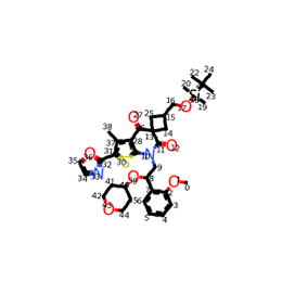 COc1ccccc1C(CN1C(=O)C2(CC(CO[Si](C)(C)C(C)(C)C)C2)C(=O)c2c1sc(-c1ncco1)c2C)OC1CCOCC1